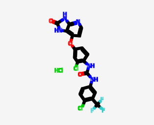 Cl.O=C(Nc1ccc(Cl)c(C(F)(F)F)c1)Nc1ccc(Oc2ccnc3[nH]c(=O)[nH]c23)cc1Cl